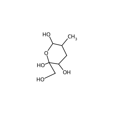 CC1CC(O)C(O)(CO)OC1O